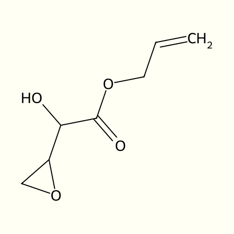 C=CCOC(=O)C(O)C1CO1